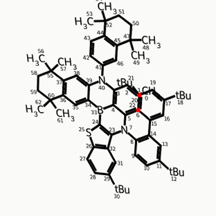 Cc1cc2c3c(c1)N(c1ccc(C(C)(C)C)cc1-c1cc(C(C)(C)C)cc(C(C)(C)C)c1)c1c(sc4ccc(C(C)(C)C)cc14)B3c1cc3c(cc1N2c1ccc2c(c1)C(C)(C)CCC2(C)C)C(C)(C)CCC3(C)C